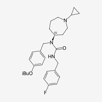 CC(C)COc1ccc(CN(C(=O)NCc2ccc(F)cc2)[C@H]2CCCN(C3CC3)CC2)cc1